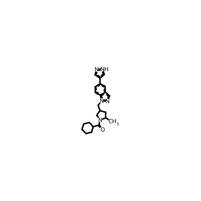 CC1CC(Cn2ncc3cc(-c4cn[nH]c4)ccc32)CN1C(=O)C1CCCCC1